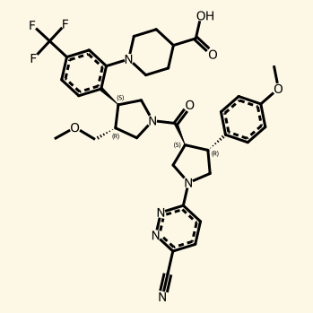 COC[C@H]1CN(C(=O)[C@@H]2CN(c3ccc(C#N)nn3)C[C@H]2c2ccc(OC)cc2)C[C@@H]1c1ccc(C(F)(F)F)cc1N1CCC(C(=O)O)CC1